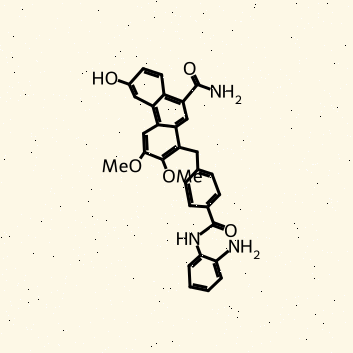 COc1cc2c(cc(C(N)=O)c3ccc(O)cc32)c(Cc2ccc(C(=O)Nc3ccccc3N)cc2)c1OC